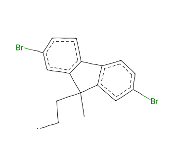 [CH2]CCC1(C)c2cc(Br)ccc2-c2ccc(Br)cc21